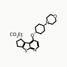 CCOC(=O)[C@H]1CCc2sc3nccc(O[C@H]4CC[C@H](N5CCOCC5)CC4)c3c21